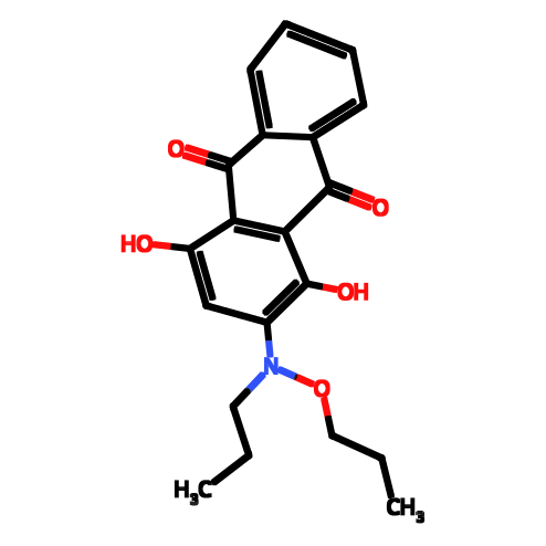 CCCON(CCC)c1cc(O)c2c(c1O)C(=O)c1ccccc1C2=O